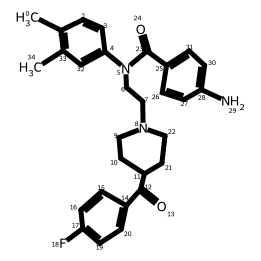 Cc1ccc(N(CCN2CCC(C(=O)c3ccc(F)cc3)CC2)C(=O)c2ccc(N)cc2)cc1C